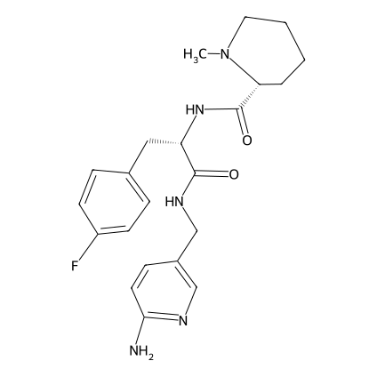 CN1CCCC[C@@H]1C(=O)N[C@@H](Cc1ccc(F)cc1)C(=O)NCc1ccc(N)nc1